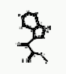 CSC(=N)C(=O)c1c[nH]c2ccccc12